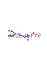 CC(=O)OCC1=C(C(=O)OC(C)(C)C)N2C(=O)C(NC(=O)COc3ccc4c(c3)SCc3c-4[nH]c4ccc(OCC(=O)N(C)C)cc34)C2SC1